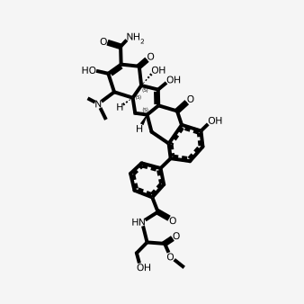 COC(=O)C(CO)NC(=O)c1cccc(-c2ccc(O)c3c2C[C@@H]2C[C@H]4C(N(C)C)C(O)=C(C(N)=O)C(=O)[C@@]4(O)C(O)=C2C3=O)c1